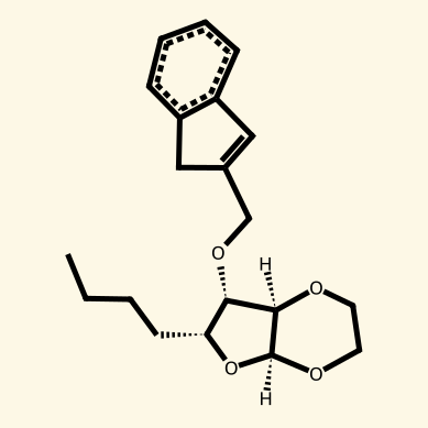 CCCC[C@H]1O[C@@H]2OCCO[C@@H]2[C@H]1OCC1=Cc2ccccc2C1